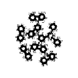 c1ccc(-c2cc(-c3cc(-n4c5ccc(-n6c7ccccc7c7ccccc76)cc5c5cc(-n6c7ccccc7c7ccccc76)ccc54)cc(-n4c5ccc(-n6c7ccccc7c7ccccc76)cc5c5cc(-n6c7ccccc7c7ccccc76)ccc54)c3)nc(-c3ccccc3)n2)cc1